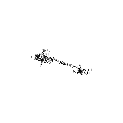 NS(=O)(=O)c1ccc(NC(=O)CN(CCN(CC(=O)NCCOCCOCCOCCOCCOCCOCCOCCOCCOCCOCCOCCOCCC(=O)N[C@@H](CC(=O)O)C(=O)N[C@@H](CC(=O)O)C(=O)N[C@@H](CS)C(=O)O)CC(=O)Nc2ccc(S(N)(=O)=O)cc2)CC(=O)O)cc1